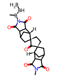 BBB(C)N1C(=O)C2C3C[C@H](C2C1=O)[C@@]1(CC[C@]2(CC4C[C@@H]2C2C(=O)N(C)C(=O)C42)C1=O)C3